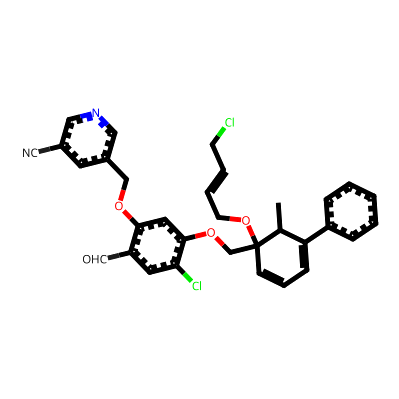 CC1C(c2ccccc2)=CC=CC1(COc1cc(OCc2cncc(C#N)c2)c(C=O)cc1Cl)OC/C=C/CCl